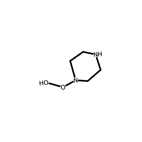 OON1CCNCC1